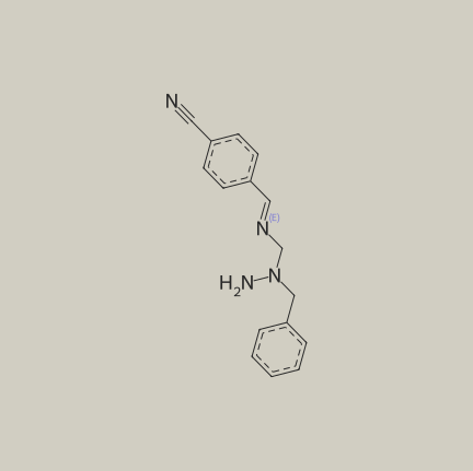 N#Cc1ccc(/C=N/CN(N)Cc2ccccc2)cc1